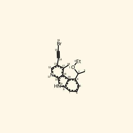 CCOC(C)c1cccc2[nH]c3ncc(C#CBr)c(C)c3c12